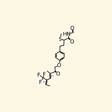 C/C=C(\C=C(/C)C(=O)COc1ccc(CCC(SC)C(=O)NC=O)cc1)C(F)(F)F